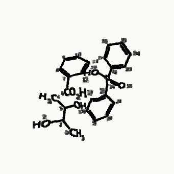 CC(O)C(C)O.O=C(O)c1ccccc1.O=P(O)(c1ccccc1)c1ccccc1